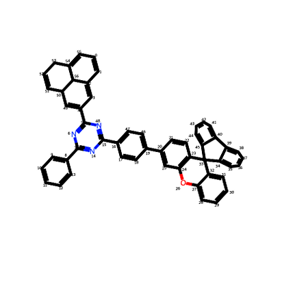 C1=CC2=CC(c3nc(-c4ccccc4)nc(-c4ccc(-c5ccc6c(c5)Oc5ccccc5C65c6ccccc6-c6ccccc65)cc4)n3)=CC3C=CCC(=C1)C23